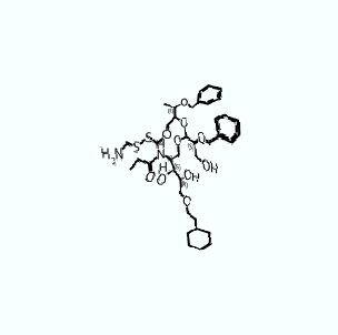 CCC(=O)N[C@@H](COC(OC(COCSSCN)[C@@H](C)OCc1ccccc1)[C@H](CO)OCc1ccccc1)[C@H](O)[C@H](O)COCCC1CCCCC1